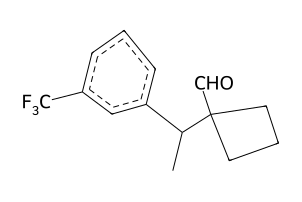 CC(c1cccc(C(F)(F)F)c1)C1(C=O)CCC1